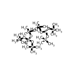 C[Si](C)(C)OP(=O)(O[Si](C)(C)C)O[Si](C)(C)C.C[Si](C)(C)OP(O[Si](C)(C)C)O[Si](C)(C)C